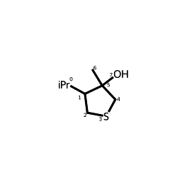 CC(C)C1CSCC1(C)O